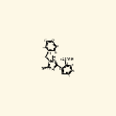 COc1ccccc1-c1nc(=S)n(Cc2ccccc2)[nH]1